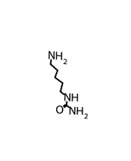 NCCCCCNC(N)=O